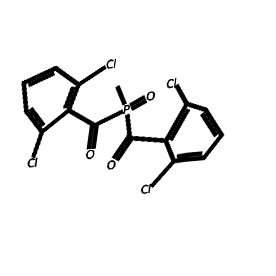 CP(=O)(C(=O)c1c(Cl)cccc1Cl)C(=O)c1c(Cl)cccc1Cl